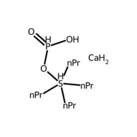 CCC[SH](CCC)(CCC)(CCC)O[PH](=O)O.[CaH2]